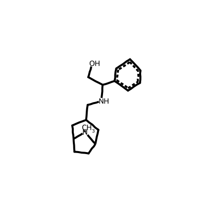 CN1C2CCC1CC(CNC(CO)c1ccccc1)C2